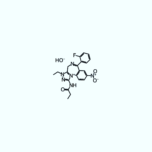 CCC(=O)Nc1nn(CC)c2[n+]1-c1ccc([N+](=O)[O-])cc1C(c1ccccc1F)=NC2.[OH-]